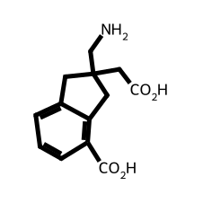 NCC1(CC(=O)O)Cc2cccc(C(=O)O)c2C1